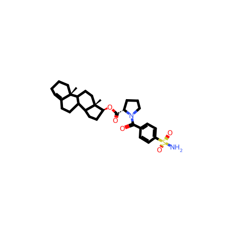 C[C@]12CCCC=C1CCC1C2CC[C@@]2(C)C1CC[C@@H]2OC(=O)[C@@H]1CCCN1C(=O)c1ccc(S(N)(=O)=O)cc1